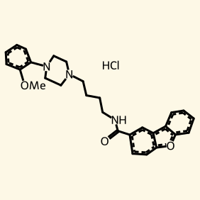 COc1ccccc1N1CCN(CCCCNC(=O)c2ccc3oc4ccccc4c3c2)CC1.Cl